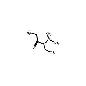 CCC(=O)N(CC)N(C)C